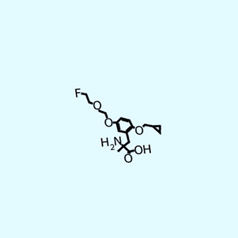 CC(N)(Cc1cc(OCCOCCF)ccc1OCC1CC1)C(=O)O